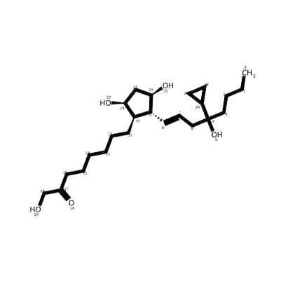 CCCCC(O)(C/C=C/[C@@H]1[C@@H](CCCCCCC(=O)CO)[C@@H](O)C[C@H]1O)C1CC1